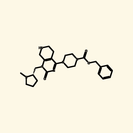 CN1CCC[C@H]1Cn1c2c(c(N3CCN(C(=O)OCc4ccccc4)CC3)nc1=O)CCNC2